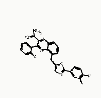 Cc1cc(-c2ncc(Cc3cccc4nc(C(N)=O)c(-c5ccccc5F)nc34)s2)ccc1F